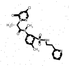 Cc1ccc(N(C)C(=O)[C@H](C)n2ncc(Cl)cc2=O)cc1S(=O)(=O)NCCc1ccccn1